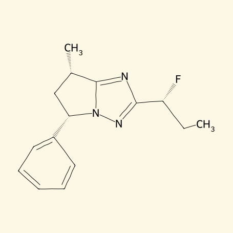 CC[C@@H](F)c1nc2n(n1)[C@H](c1ccccc1)C[C@@H]2C